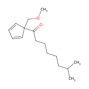 COCC1(C(=O)CCCCCC(C)C)C=CC=C1